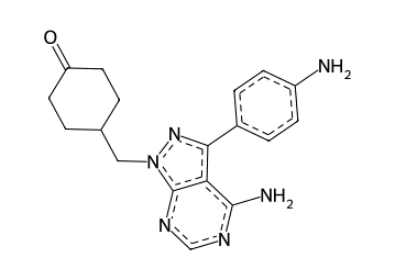 Nc1ccc(-c2nn(CC3CCC(=O)CC3)c3ncnc(N)c23)cc1